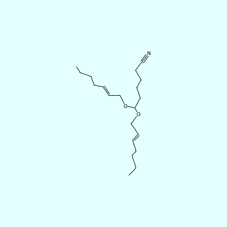 CCCC/C=C/COC(CCCCC#N)OC/C=C/CCCC